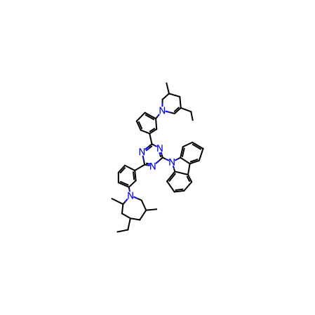 CCC1=CN(c2cccc(-c3nc(-c4cccc(N5CC(C)CC(CC)CC5C)c4)nc(-n4c5ccccc5c5ccccc54)n3)c2)CC(C)C1